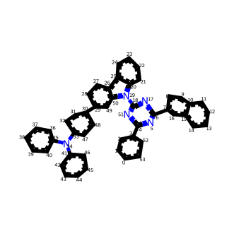 c1ccc(-c2nc(-c3ccc4ccccc4c3)nc(-n3c4ccccc4c4ccc(-c5ccc(N(c6ccccc6)c6ccccc6)cc5)cc43)n2)cc1